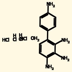 Cl.Cl.Cl.Cl.Nc1ccc(-c2ccc(N)c(N)c2N)cc1.O